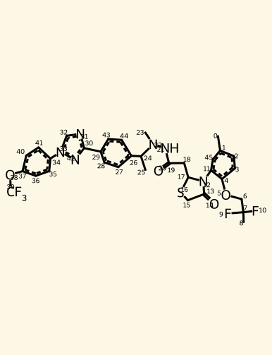 Cc1ccc(OCC(C)(F)F)c(N2C(=O)CSC2CC(=O)NN(C)C(C)c2ccc(-c3ncn(-c4ccc(OC(F)(F)F)cc4)n3)cc2)c1